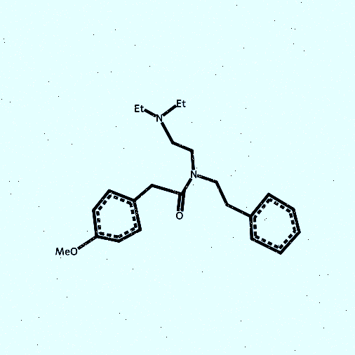 CCN(CC)CCN(CCc1ccccc1)C(=O)Cc1ccc(OC)cc1